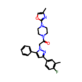 Cc1coc(N2CCN(C(=O)Cn3nc(-c4ccc(F)c(C)c4)cc3-c3ccccc3)CC2)n1